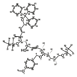 COc1ccc(CO[C@H]([C@H](C)C[C@@H](C)CO[Si](C)(C)C(C)(C)C)[C@@H](C)C#C[C@@H](O)C[C@H](O[Si](C)(C)C(C)(C)C)[C@@H](C)C=CCOC(c2ccccc2)(c2ccccc2)c2ccccc2)cc1